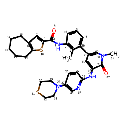 Cc1c(NC(=O)c2cc3c(s2)CCCCC3)cccc1-c1cc(Nc2ccc(N3CCSCC3)cn2)c(=O)n(C)c1